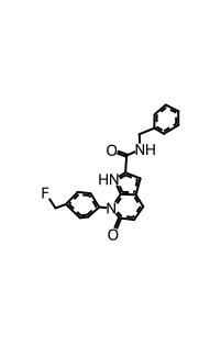 O=C(NCc1ccccc1)c1cc2ccc(=O)n(-c3ccc(CF)cc3)c2[nH]1